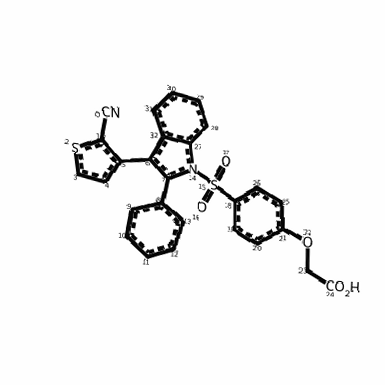 N#Cc1sccc1-c1c(-c2ccccc2)n(S(=O)(=O)c2ccc(OCC(=O)O)cc2)c2ccccc12